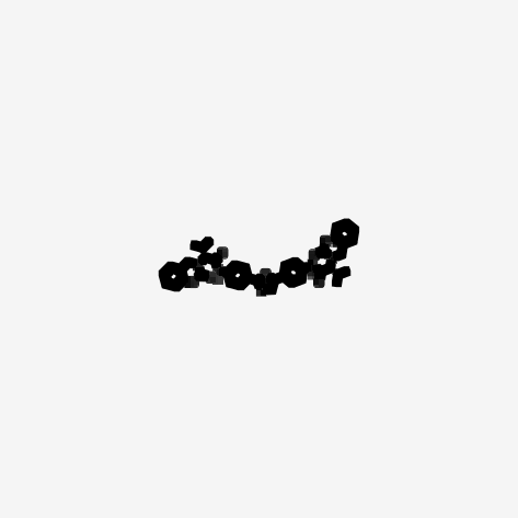 CC(C)[C@H](C(=O)Nc1ccc(-c2cnc(-c3ccc(NC(=O)[C@@H](C(C)C)N(Cc4ccccc4)C(=O)O)cc3)o2)cc1)N(Cc1ccccc1)C(=O)O